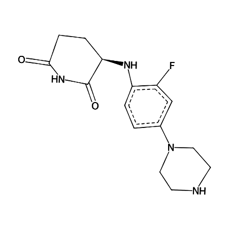 O=C1CC[C@@H](Nc2ccc(N3CCNCC3)cc2F)C(=O)N1